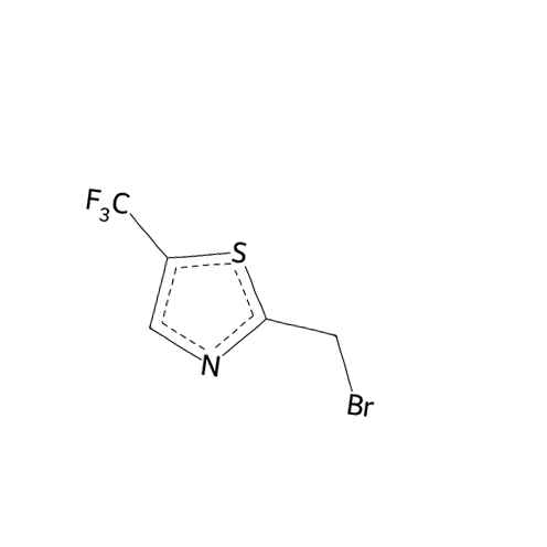 FC(F)(F)c1cnc(CBr)s1